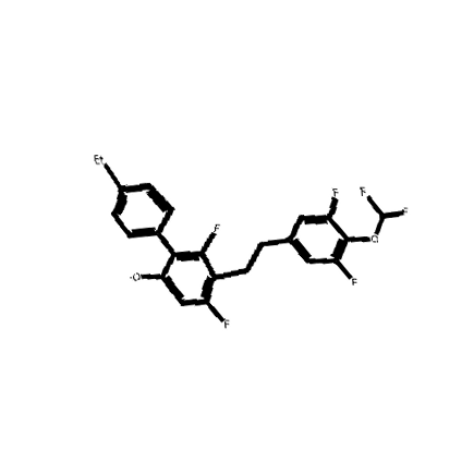 CCc1ccc(-c2c([O])cc(F)c(CCc3cc(F)c(OC(F)F)c(F)c3)c2F)cc1